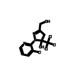 OCC1=NN(c2ncccc2Cl)C(O)(C(Cl)(Cl)Cl)C1